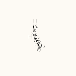 O=C1CC2(Cc3cnc(Nc4ccc(N5CCNCC5)cc4)nc3N2)C(=O)N1C1CCCC1